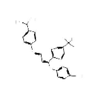 Cc1ccc(SC(=CC=Nc2ccc(C(C)C)cc2)c2ccc(C(F)(F)F)cc2)cc1